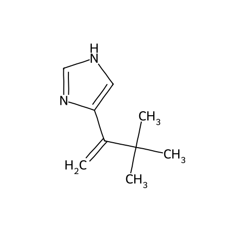 C=C(c1c[nH]cn1)C(C)(C)C